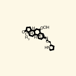 C[C@]12CCC(=NOC[C@H]3CCCN3)CC1C(=O)C[C@@H]1[C@H]2CC[C@]2(C)C(=O)CC[C@@H]12.Cl